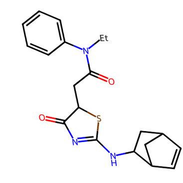 CCN(C(=O)CC1SC(NC2CC3C=CC2C3)=NC1=O)c1ccccc1